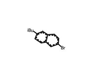 CCC(C)c1[c]c2ccc(Br)cc2cc1